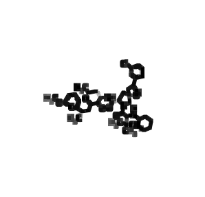 CCC[C@H](NC(=O)[C@@H]1C[C@]2(CC(c3cccc(Cl)c3)=NO2)CN1C(=O)[C@@H](NC1CCCCC1)C(C)(C)C)C(=O)C(=O)C[C@H](C)c1cccc(OC)c1